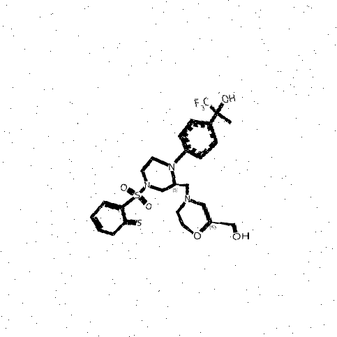 CC(O)(c1ccc(N2CCN(S(=O)(=O)C3=CC=CCC3=S)C[C@@H]2CN2CCO[C@H](CO)C2)cc1)C(F)(F)F